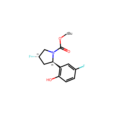 CC(C)(C)OC(=O)N1C[C@@H](F)C[C@@H]1c1cc(F)ccc1O